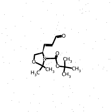 CC(C)(C)OC(=O)N1[C@H](/C=C/C=O)COC1(C)C